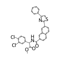 COC(=O)C(NC(=O)c1ccc2ccc(-c3nc(-c4ccccc4)cs3)cc2c1)c1ccc(Cl)c(Cl)c1